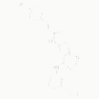 C#Cc1cccc(Nc2ncnc3ccc(NC(=O)CCN4CCN(C(C)C)CC4)cc23)c1